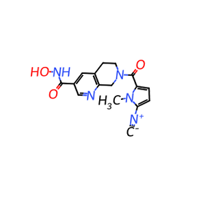 [C-]#[N+]c1ccc(C(=O)N2CCc3cc(C(=O)NO)cnc3C2)n1C